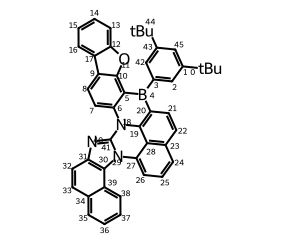 CC(C)(C)c1cc(B2c3c(ccc4c3oc3ccccc34)-n3c4c2ccc2cccc(c24)n2c4c(ccc5ccccc54)nc32)cc(C(C)(C)C)c1